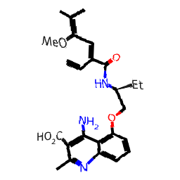 C=C/C(=C\C(OC)=C(C)C)C(=O)N[C@@H](CC)COc1cccc2nc(C)c(C(=O)O)c(N)c12